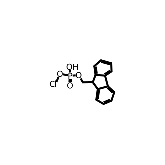 O=P(O)(OCl)OCC1c2ccccc2-c2ccccc21